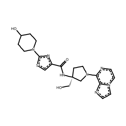 O=C(N[C@@]1(CO)CCN(c2nccn3ccnc23)C1)c1csc(N2CCC(O)CC2)n1